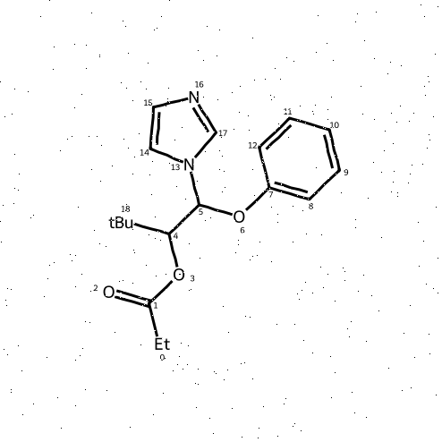 CCC(=O)OC(C(Oc1ccccc1)n1ccnc1)C(C)(C)C